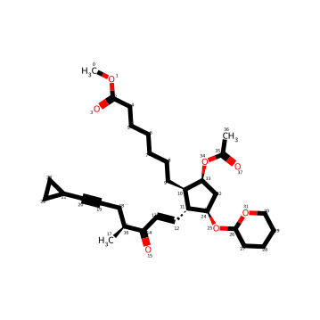 COC(=O)CCCCCC[C@@H]1[C@@H](/C=C/C(=O)[C@@H](C)CC#CC2CC2)[C@H](OC2CCCCO2)C[C@@H]1OC(C)=O